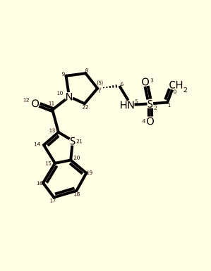 C=CS(=O)(=O)NC[C@H]1CCN(C(=O)c2cc3ccccc3s2)C1